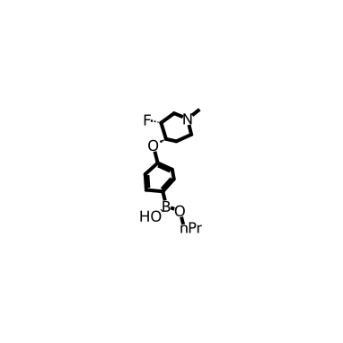 CCCOB(O)c1ccc(O[C@H]2CCN(C)C[C@H]2F)cc1